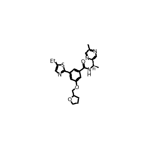 CCc1cnc(-c2cc(OCC3CCCO3)cc(C(=O)N[C@H](C)c3cnc(C)cn3)c2)s1